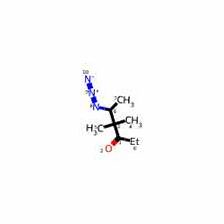 CCC(=O)C(C)(C)C(C)N=[N+]=[N-]